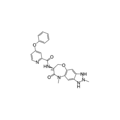 CN1Nc2cc3c(cc2N1)N(C)C(=O)[C@@H](NC(=O)c1cc(Oc2ccccc2)ccn1)CO3